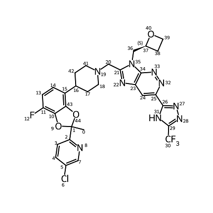 CC1(c2ccc(Cl)cn2)Oc2c(F)ccc(C3CCN(Cc4nc5cc(-c6nnc(C(F)(F)F)[nH]6)nnc5n4C[C@@H]4CCO4)CC3)c2O1